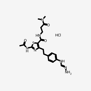 CC(=O)Nc1nc(CCc2ccc(NC=NN)cc2)c(C(=O)NCCC(=O)N(C)C)s1.Cl